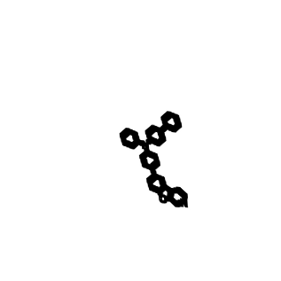 c1ccc(-c2ccc(N(c3ccccc3)c3ccc(-c4ccc5oc6cnccc6c5c4)cc3)cc2)cc1